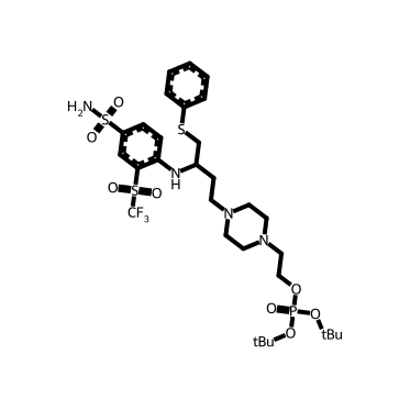 CC(C)(C)OP(=O)(OCCN1CCN(CCC(CSc2ccccc2)Nc2ccc(S(N)(=O)=O)cc2S(=O)(=O)C(F)(F)F)CC1)OC(C)(C)C